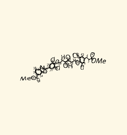 COC(=O)CCc1cc(Cl)c(OCCC(O)C(O)CCOc2c(Cl)cc(-c3nc4ccc(C(=O)OC)cc4o3)cc2Cl)c(Cl)c1